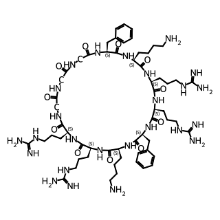 N=C(N)NCCC[C@@H]1NC(=O)[C@H](CCCNC(=N)N)NC(=O)[C@H](CCCCN)NC(=O)[C@H](Cc2ccccc2)NC(=O)[C@H](CCCNC(=N)N)NC(=O)[C@H](CCCNC(=N)N)NC(=O)[C@H](CCCCN)NC(=O)[C@H](Cc2ccccc2)NC(=O)CNC(=O)CNC(=O)CNC1=O